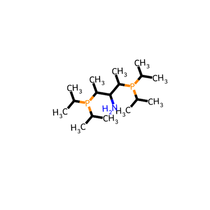 CC(C)P(C(C)C)C(C)C(N)C(C)P(C(C)C)C(C)C